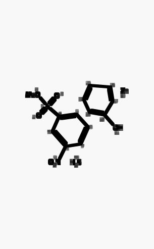 COS(=O)(=O)c1cccc([N+](=O)[O-])c1.Oc1ccccc1.S.[Zn]